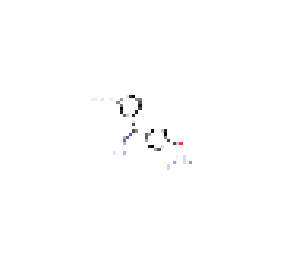 CC(C)N(C(=O)c1ccc(/C(=C\CN(C)C)c2cccc(O)c2)cc1)C(C)C